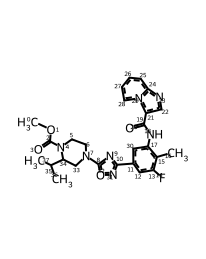 COC(=O)N1CCN(c2nc(-c3cc(F)c(C)c(NC(=O)c4cnc5ccccn45)c3)no2)CC1C(C)C